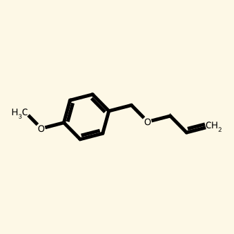 C=C[CH]OCc1ccc(OC)cc1